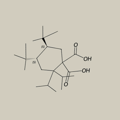 CC(C)C1(C(C)C)C[C@H](C(C)(C)C)[C@@H](C(C)(C)C)CC1(C(=O)O)C(=O)O